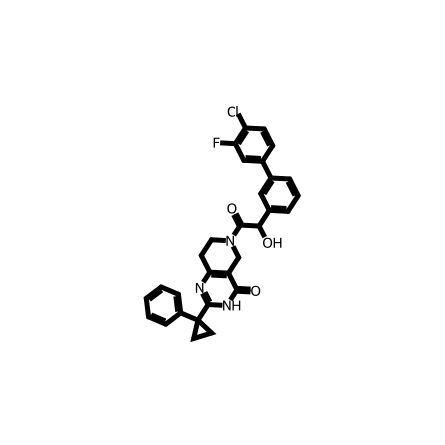 O=C(C(O)c1cccc(-c2ccc(Cl)c(F)c2)c1)N1CCc2nc(C3(c4ccccc4)CC3)[nH]c(=O)c2C1